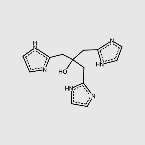 OC(Cc1ncc[nH]1)(Cc1ncc[nH]1)Cc1ncc[nH]1